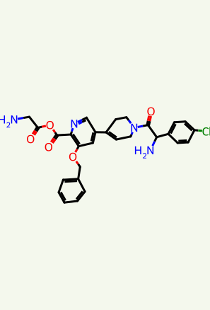 NCC(=O)OC(=O)c1ncc(C2=CCN(C(=O)C(N)c3ccc(Cl)cc3)CC2)cc1OCc1ccccc1